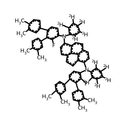 [2H]c1c([2H])c([2H])c(N(c2ccc(-c3ccc(C)c(C)c3)c(-c3ccc(C)c(C)c3)c2F)c2ccc3ccc4c(N(c5ccc(-c6ccc(C)c(C)c6)c(-c6ccc(C)c(C)c6)c5F)c5c([2H])c([2H])c([2H])c([2H])c5[2H])ccc5ccc2c3c54)c([2H])c1[2H]